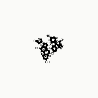 C[C@]12CC[C@H](O)C[C@H]1CC[C@@H]1[C@@H]2C[C@@H](O)[C@]2(C)[C@@H](C3=CC(=O)OC3)CC[C@]12O.O=C1OC2(c3ccc(O)cc3Oc3cc(O)ccc32)c2ccccc21